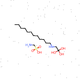 CCCCCCCCCCCCNCC(O)(O)O.NCS(=O)(=O)O